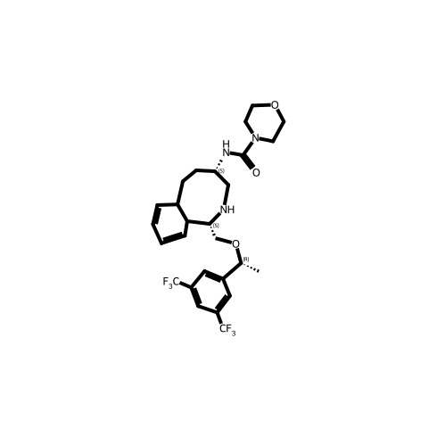 C[C@@H](OC[C@H]1NC[C@@H](NC(=O)N2CCOCC2)CCC2C=CC=CC21)c1cc(C(F)(F)F)cc(C(F)(F)F)c1